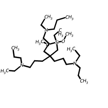 CCCN(CC)CCCC(CCCN(CC)CCC)(CCCN(CC)CCC)C[Si](CC)(OC)OC